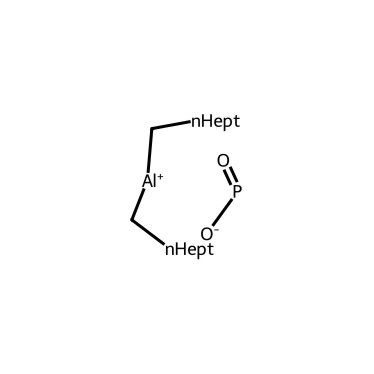 CCCCCCC[CH2][Al+][CH2]CCCCCCC.O=P[O-]